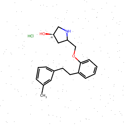 Cc1cccc(CCc2ccccc2OCC2C[C@@H](O)CN2)c1.Cl